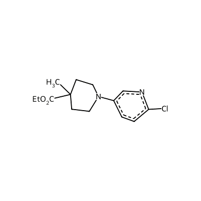 CCOC(=O)C1(C)CCN(c2ccc(Cl)nc2)CC1